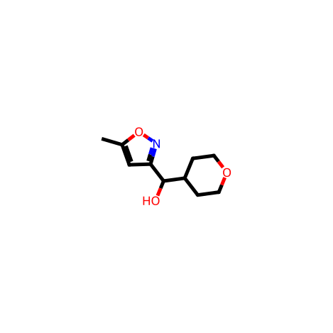 Cc1cc(C(O)C2CCOCC2)no1